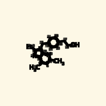 CCc1nc2c(C)cc(C)nc2n1Cc1ccc(CCO)cc1